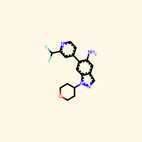 Nc1cc2cnn(C3CCOCC3)c2cc1-c1ccnc(C(F)F)c1